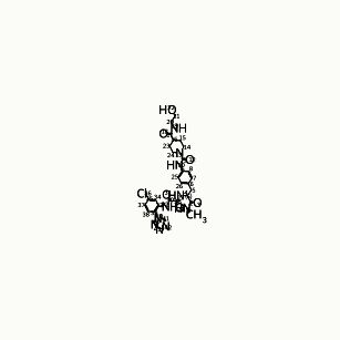 CNC(=O)[C@H](Cc1ccc(NC(=O)N2CCC(C(=O)NCCO)CC2)cc1)NC(=O)C(=O)Nc1cc(Cl)ccc1-n1cnnn1